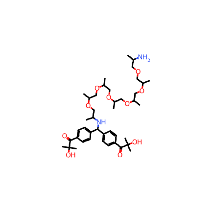 CC(N)COCC(C)OCC(C)OCC(C)OCC(C)OCC(C)OCC(C)NC(c1ccc(C(=O)C(C)(C)O)cc1)c1ccc(C(=O)C(C)(C)O)cc1